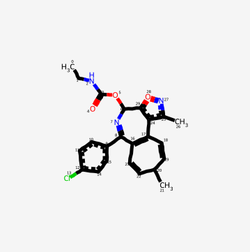 CCNC(=O)OC1N=C(c2ccc(Cl)cc2)C2=C(C=CC(C)C=C2)c2c(C)noc21